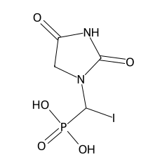 O=C1CN(C(I)P(=O)(O)O)C(=O)N1